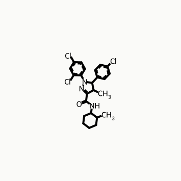 CC1CCCCC1NC(=O)C1=NN(c2ccc(Cl)cc2Cl)C(c2ccc(Cl)cc2)C1C